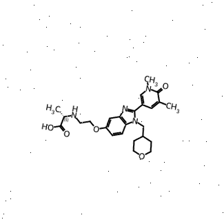 Cc1cc(-c2nc3cc(OCCN[C@@H](C)C(=O)O)ccc3n2CC2CCOCC2)cn(C)c1=O